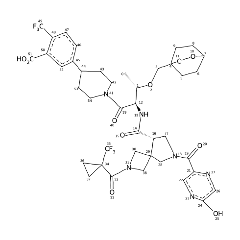 C[C@H](OCC12CCC(CC1)OC2)[C@@H](NC(=O)[C@@H]1CN(C(=O)c2cnc(O)cn2)CC12CN(C(=O)C1(C(F)(F)F)CC1)C2)C(=O)N1CCC(c2ccc(C(F)(F)F)c(C(=O)O)c2)CC1